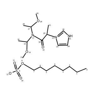 CCCCCCCCOS(=O)(=O)[O-].COC(C)N(C(=O)C(C)[n+]1cc[nH]c1)C(C)OC